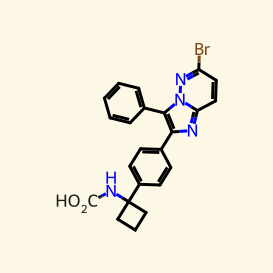 O=C(O)NC1(c2ccc(-c3nc4ccc(Br)nn4c3-c3ccccc3)cc2)CCC1